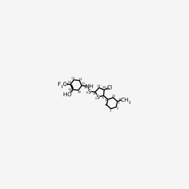 CC1CCCC(C2SC(SNC3CCC(C(F)(F)F)=C(O)C3)CC2Cl)C1